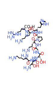 N=C(N)NCC/C=C(\NC(=O)[C@H](CCCCN)NC(=O)[C@H](CCc1cnc[nH]1)NC(=O)[C@@H]1CCCN1C(=O)[C@@H](CCCN)NC(=O)CNC(=O)[C@H](CO)NC(=O)[C@@H](NC(=O)[C@@H](N)CCCCN)[C@@H](O)CN)C(=O)O